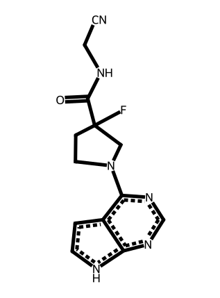 N#CCNC(=O)C1(F)CCN(c2ncnc3[nH]ccc23)C1